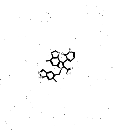 Cc1cc2[nH]ncc2cc1Cn1c(C(=O)O)c(-c2ccc[nH]c2=O)c2c3c(c(F)cc21)CCO3